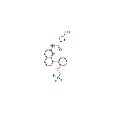 O=C(Nc1ccc2cccc(-c3ccccc3OCC(F)(F)F)c2n1)[C@H]1C[C@H](O)C1